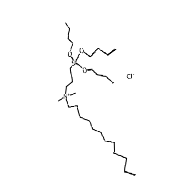 CCCCCCCCCCCC[N+](C)(C)CCC[Si](OCCCC)(OCCCC)OCCCC.[Cl-]